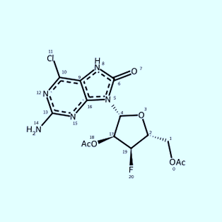 CC(=O)OC[C@H]1O[C@@H](n2c(=O)[nH]c3c(Cl)nc(N)nc32)[C@H](OC(C)=O)[C@@H]1F